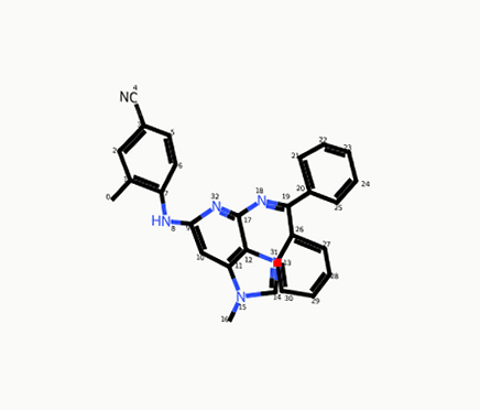 Cc1cc(C#N)ccc1Nc1cc2c(ncn2C)c(N=C(c2ccccc2)c2ccccc2)n1